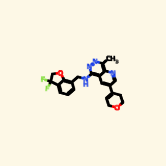 Cc1nnc(NCc2cccc3c2OCC3(F)F)c2cc(C3=CCOCC3)cnc12